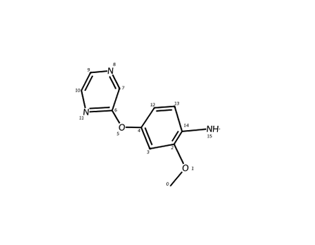 COc1cc(Oc2cnccn2)ccc1[NH]